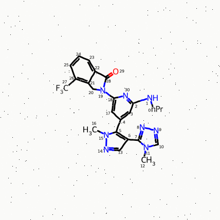 CCCNc1cc(-c2c(-c3nncn3C)cnn2C)cc(N2Cc3c(cccc3C(F)(F)F)C2=O)n1